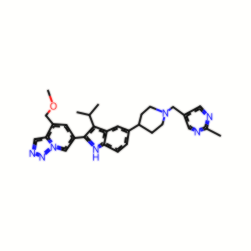 COCc1cc(-c2[nH]c3ccc(C4CCN(Cc5cnc(C)nc5)CC4)cc3c2C(C)C)cn2nncc12